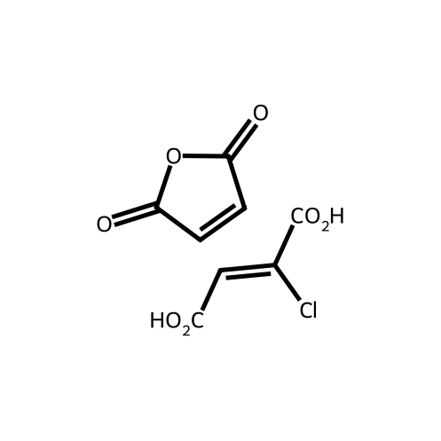 O=C(O)C=C(Cl)C(=O)O.O=C1C=CC(=O)O1